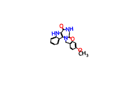 COc1ccc(CN2C(=O)CNC(=O)c3[nH]c4ccccc4c32)cc1